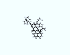 C=CC(=O)N1CCC(N(CC2CC2)c2nc(OCC34CCCN3CCC4)nc3c(F)c(-c4cccc5cccc(Cl)c45)ncc23)C1